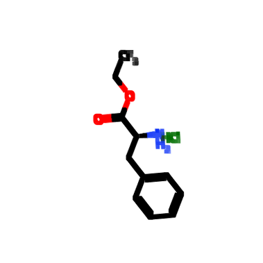 Cl.N[C@@H](Cc1ccccc1)C(=O)OCC(F)(F)F